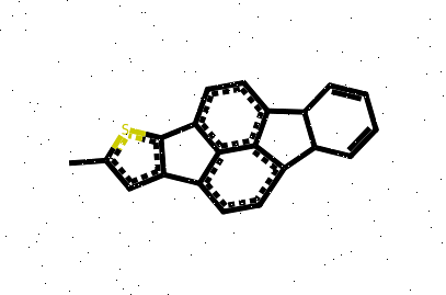 Cc1cc2c(s1)-c1ccc3c4c(ccc-2c14)C1C=CC=CC31